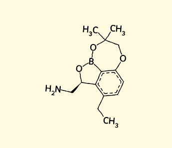 CCc1ccc2c3c1[C@@H](CN)OB3OC(C)(C)CO2